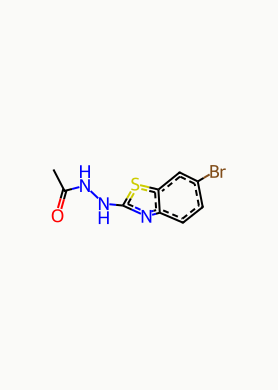 CC(=O)NNc1nc2ccc(Br)cc2s1